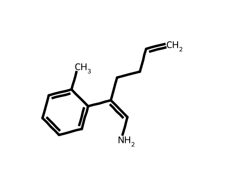 C=CCC/C(=C/N)c1ccccc1C